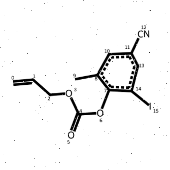 C=CCOC(=O)Oc1c(C)cc(C#N)cc1I